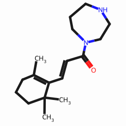 CC1=C(/C=C/C(=O)N2CCCNCC2)C(C)(C)CCC1